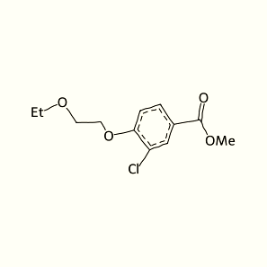 CCOCCOc1ccc(C(=O)OC)cc1Cl